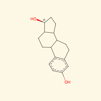 Oc1ccc2c(c1)CCC1C2CCC2C1CC[C@@H]2O